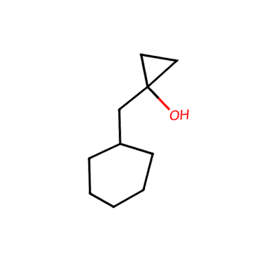 OC1(CC2CCCCC2)CC1